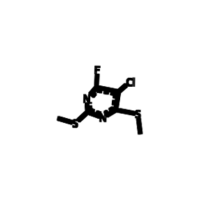 CSc1nc(F)c(Cl)c(SC)n1